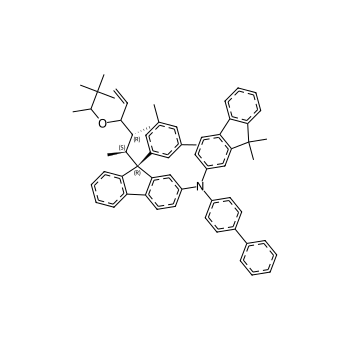 C=CC(OC(C)C(C)(C)C)[C@H](C)[C@H](C)[C@@]1(c2cc(C)cc(C)c2)c2ccccc2-c2ccc(N(c3ccc(-c4ccccc4)cc3)c3ccc4c(c3)C(C)(C)c3ccccc3-4)cc21